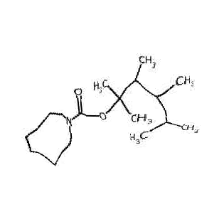 CC(C)C(C)C(C)C(C)(C)OC(=O)N1CCCCC1